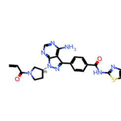 C=CC(=O)N1CC[C@@H](n2nc(-c3ccc(C(=O)Nc4nccs4)cc3)c3c(N)ncnc32)C1